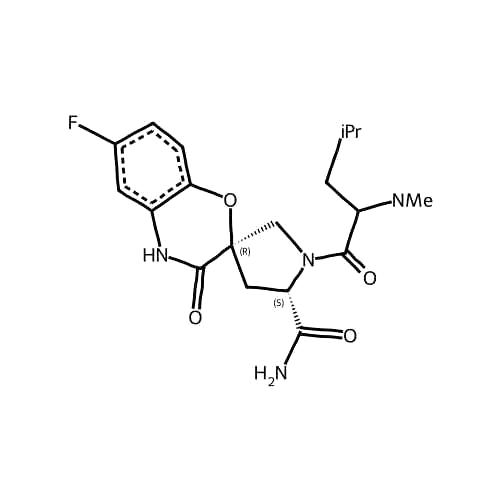 CNC(CC(C)C)C(=O)N1C[C@@]2(C[C@H]1C(N)=O)Oc1ccc(F)cc1NC2=O